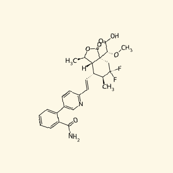 CO[C@@H](C(=O)O)[C@@]12CC(F)(F)[C@@H](C)[C@H](C=Cc3ccc(-c4ccccc4C(N)=O)cn3)[C@@H]1[C@@H](C)OC2=O